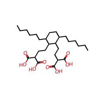 CCCCCCC1CCC(CCCCCC)C(CCC(C(=O)O)C(=O)O)C1CCC(C(=O)O)C(=O)O